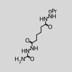 CCCNNC(=O)CCCCC(=O)NNC(N)=O